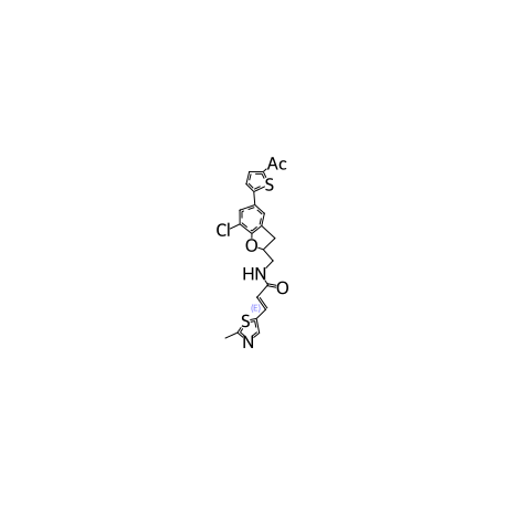 CC(=O)c1ccc(-c2cc(Cl)c3c(c2)CC(CNC(=O)/C=C/c2cnc(C)s2)O3)s1